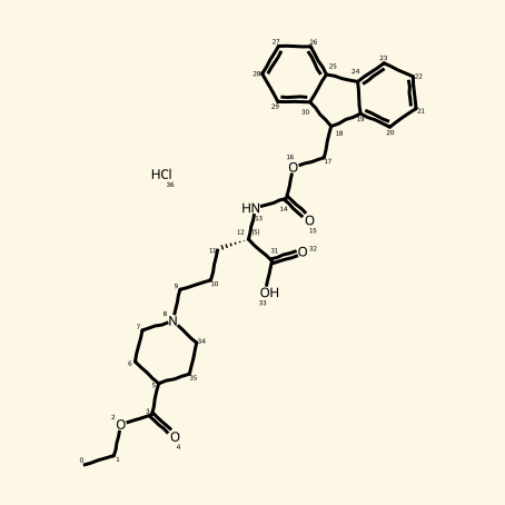 CCOC(=O)C1CCN(CCC[C@H](NC(=O)OCC2c3ccccc3-c3ccccc32)C(=O)O)CC1.Cl